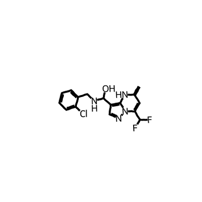 C=C1C=C(C(F)F)n2ncc(C(O)NCc3ccccc3Cl)c2N1